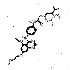 CCOc1cc(OCCOC)cc2ncnc(Nc3ccc(NC(=O)CN(N)/C=C(\N)C(C)C)cc3)c12